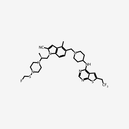 Cc1c(CN2CCC(Nc3ncnc4sc(CC(F)(F)F)cc34)CC2)ccc2c1cc(C#N)n2C[C@H](C)N1CCN(SCF)CC1